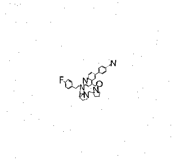 N#Cc1ccc(-c2ccc3nc(NCCc4ccc(F)cc4)cc(C(=O)N4CCC[C@H]4CN4CCCC4)c3c2)cc1